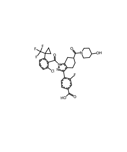 O=C(O)c1ccc(-c2nn(C(=O)c3c(Cl)cccc3C3(C(F)(F)F)CC3)c3c2CCC(C(=O)N2CCC(O)CC2)C3)c(F)c1